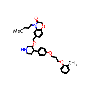 COCCCN1C(=O)COc2ccc(COC3CNCCC3c3ccc(OCCCOc4ccccc4C)cc3)cc21